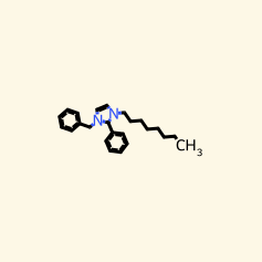 CCCCCCCCN1C=CN(Cc2ccccc2)C1c1ccccc1